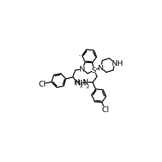 NC(CN1CS(CC(N)c2ccc(Cl)cc2)(N2CCNCC2)c2ccc[c]c21)c1ccc(Cl)cc1